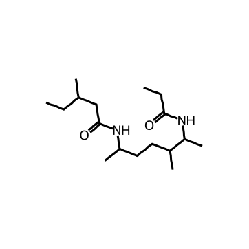 CCC(=O)NC(C)C(C)CCC(C)NC(=O)CC(C)CC